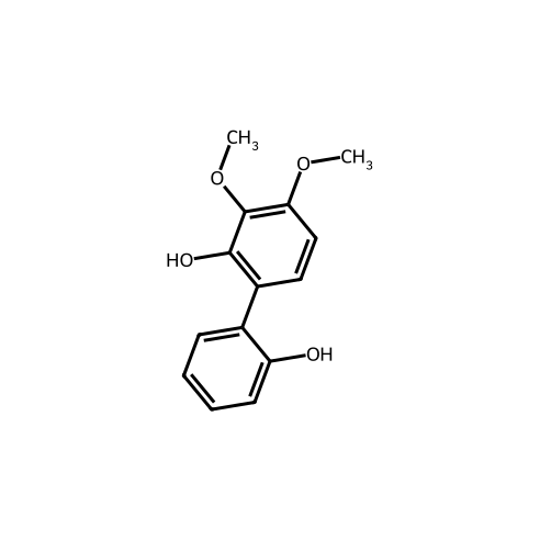 COc1ccc(-c2ccccc2O)c(O)c1OC